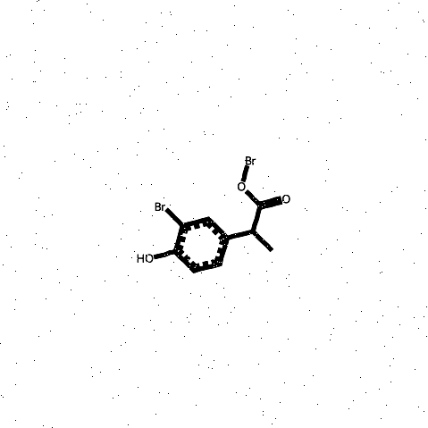 CC(C(=O)OBr)c1ccc(O)c(Br)c1